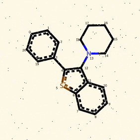 c1ccc(-c2sc3ccccc3c2N2CCCCC2)cc1